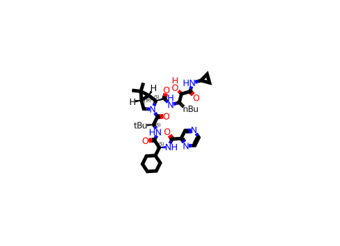 CCCCC(NC(=O)[C@@H]1[C@@H]2[C@H](CN1C(=O)[C@@H](NC(=O)[C@@H](NC(=O)c1cnccn1)C1CCCCC1)C(C)(C)C)C2(C)C)C(O)C(=O)NC1CC1